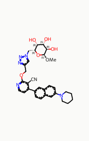 CO[C@H]1O[C@H](Cn2cc(COc3nccc(-c4ccc5cc(N6CCCCC6)ccc5c4)c3C#N)nn2)[C@H](O)[C@H](O)[C@H]1O